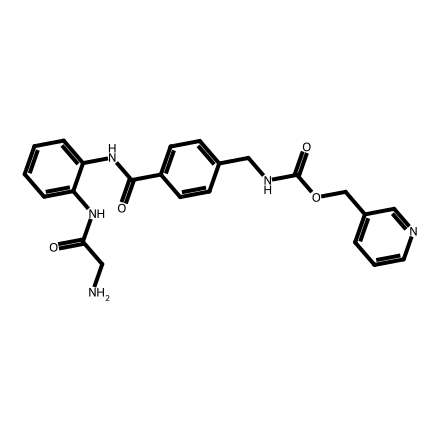 NCC(=O)Nc1ccccc1NC(=O)c1ccc(CNC(=O)OCc2cccnc2)cc1